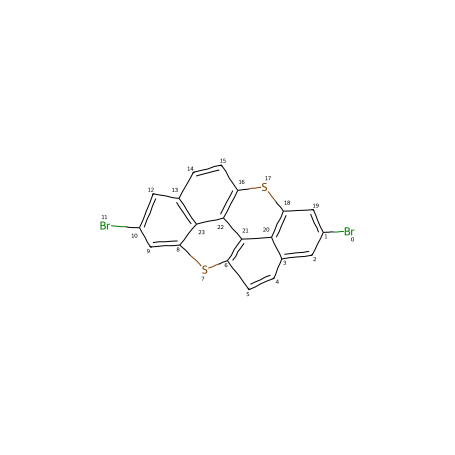 Brc1cc2ccc3sc4cc(Br)cc5ccc6sc(c1)c2c3-c6c54